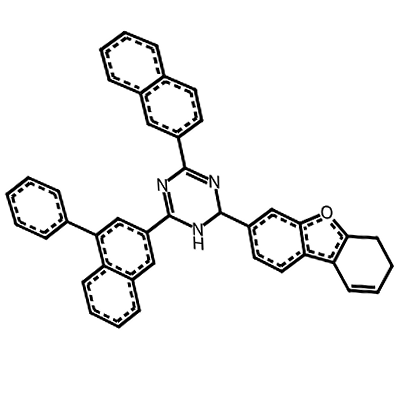 C1=Cc2c(oc3cc(C4N=C(c5ccc6ccccc6c5)N=C(c5cc(-c6ccccc6)c6ccccc6c5)N4)ccc23)CC1